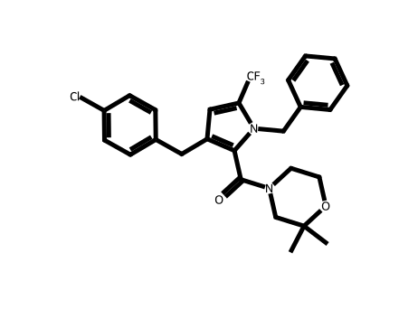 CC1(C)CN(C(=O)c2c(Cc3ccc(Cl)cc3)cc(C(F)(F)F)n2Cc2ccccc2)CCO1